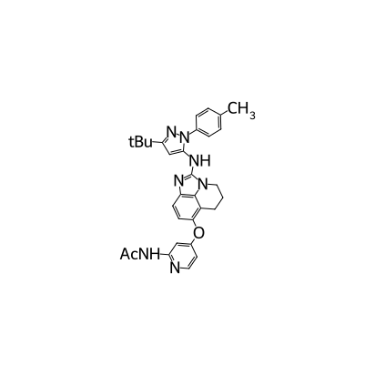 CC(=O)Nc1cc(Oc2ccc3nc(Nc4cc(C(C)(C)C)nn4-c4ccc(C)cc4)n4c3c2CCC4)ccn1